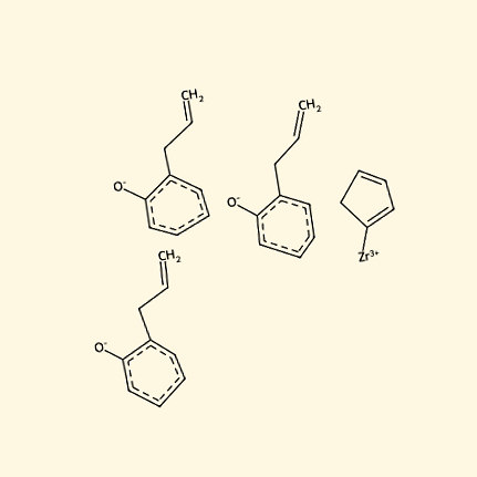 C=CCc1ccccc1[O-].C=CCc1ccccc1[O-].C=CCc1ccccc1[O-].[Zr+3][C]1=CC=CC1